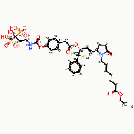 CCOC(=O)CCCCCCN1C(=O)CC[C@@H]1/C=C/[C@@H](OC(=O)Cc1ccc(OC(=O)NCCC(O)(P(=O)(O)O)P(=O)(O)O)cc1)C(F)(F)c1ccccc1